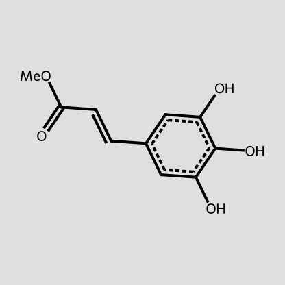 COC(=O)C=Cc1cc(O)c(O)c(O)c1